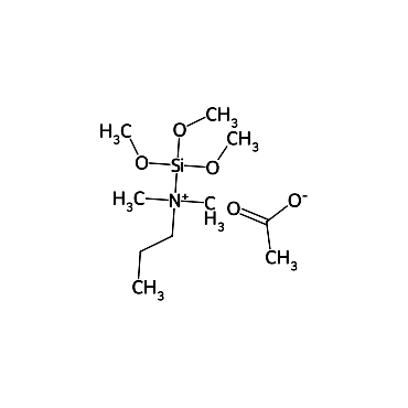 CC(=O)[O-].CCC[N+](C)(C)[Si](OC)(OC)OC